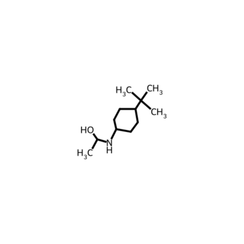 CC(O)NC1CCC(C(C)(C)C)CC1